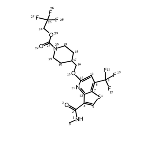 CNC(=O)c1csc2c(C(F)(F)F)cc(OCC3CCN(C(=O)OCC(F)(F)F)CC3)nc12